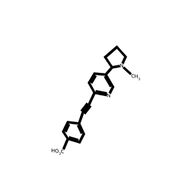 CN1CCCC1c1ccc(C#Cc2ccc(C(=O)O)cc2)nc1